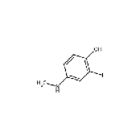 CNc1ccc(O)c(I)c1